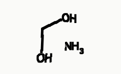 N.OCO